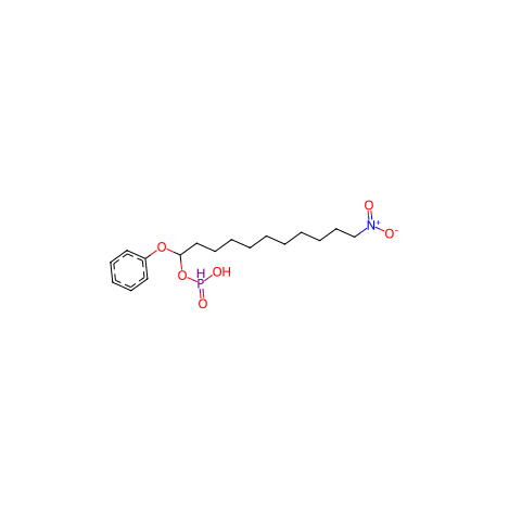 O=[N+]([O-])CCCCCCCCCCC(Oc1ccccc1)O[PH](=O)O